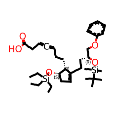 CC[Si](CC)(CC)O[C@H]1CC=C(CC[C@H](COc2ccccc2)O[Si](C)(C)C(C)(C)C)[C@H]1CCC=C=CCC(=O)O